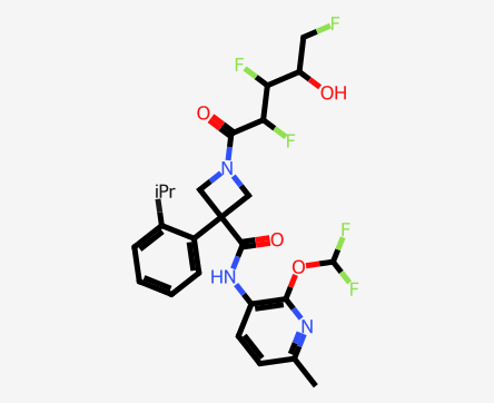 Cc1ccc(NC(=O)C2(c3ccccc3C(C)C)CN(C(=O)C(F)C(F)C(O)CF)C2)c(OC(F)F)n1